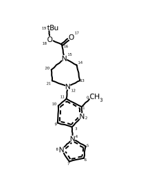 Cc1nc(-n2cccn2)ccc1N1CCN(C(=O)OC(C)(C)C)CC1